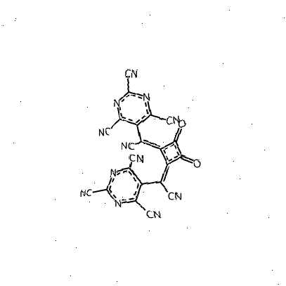 N#C/C(c1c(C#N)nc(C#N)nc1C#N)=c1\c(=O)c(=O)\c1=C(\C#N)c1c(C#N)nc(C#N)nc1C#N